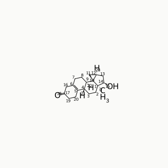 C[C@]12CC[C@@H]3C4=C(CC[C@H]3[C@@]13C[C@H]3C[C@H]2O)CC(=O)CC4